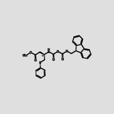 CC(C)(C)OC(=O)C[C@H](CSc1ccccc1)NC(=O)OC(=O)OCC1c2ccccc2-c2ccccc21